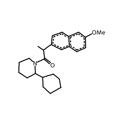 COc1ccc2cc(C(C)C(=O)N3CCCCC3C3CCCCC3)ccc2c1